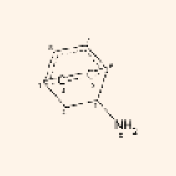 NC1[CH]c2ccc1cc2